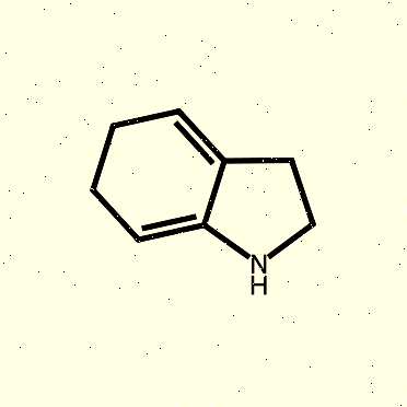 C1=C2CCNC2=CCC1